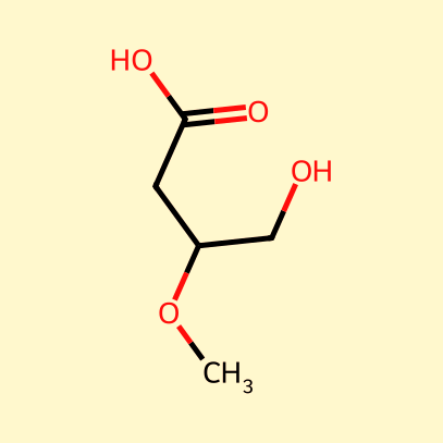 COC(CO)CC(=O)O